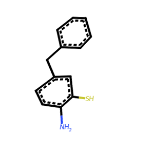 Nc1ccc(Cc2ccccc2)cc1S